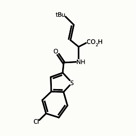 CC(C)(C)/C=C/C(NC(=O)c1cc2cc(Cl)ccc2s1)C(=O)O